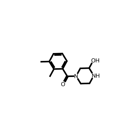 Cc1cccc(C(=O)N2CCNC(O)C2)c1C